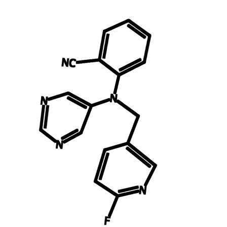 N#Cc1ccccc1N(Cc1ccc(F)nc1)c1cncnc1